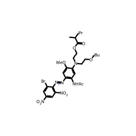 CCC(C)OCCN(CCOC(=O)C(C)C(C)C)c1cc(NC(C)=O)c(/N=N/c2c(Br)cc([N+](=O)[O-])cc2[N+](=O)[O-])cc1OC